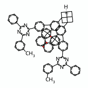 Cc1cccc(-c2nc(-c3ccccc3)nc(-c3ccc4c(c3)C(c3ccccc3)(c3ccccc3)c3ccc(C56CC7C[C@@H]8CC(c9ccc%10c(c9)-c9ccc(-c%11nc(-c%12ccccc%12)nc(-c%12cccc(C)c%12)n%11)cc9C%10(c9ccccc9)c9ccccc9)(C5)C786)cc3-4)n2)c1